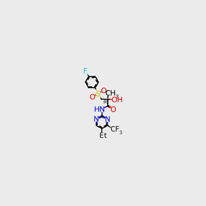 CCc1cnc(NC(=O)[C@@](C)(O)CS(=O)(=O)c2ccc(F)cc2)nc1C(F)(F)F